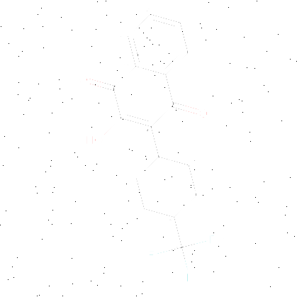 O=C1C(O)=C(C2CCC(C(F)(F)F)CC2)C(=O)c2ccccc21